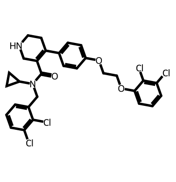 O=C(C1=C(c2ccc(OCCOc3cccc(Cl)c3Cl)cc2)CCNC1)N(Cc1cccc(Cl)c1Cl)C1CC1